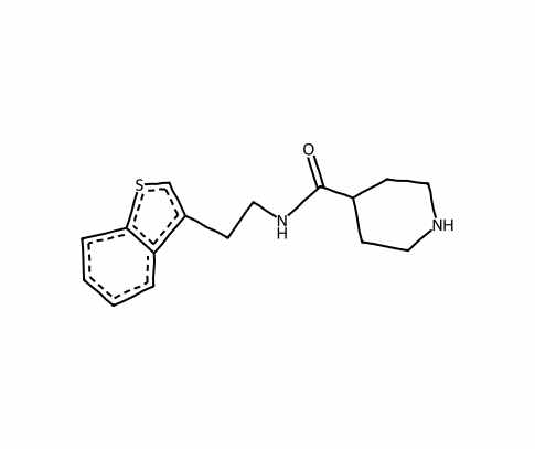 O=C(NCCc1csc2ccccc12)C1CCNCC1